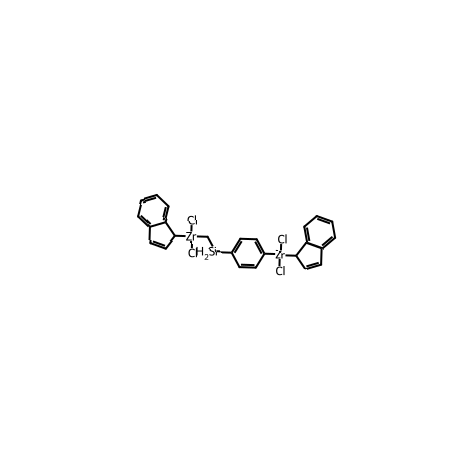 [Cl][Zr]([Cl])([CH2][SiH2]c1cc[c]([Zr]([Cl])([Cl])[CH]2C=Cc3ccccc32)cc1)[CH]1C=Cc2ccccc21